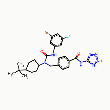 CC(C)(C)C1CCC(N(Cc2ccc(C(=O)Nc3nn[nH]n3)cc2)C(=O)Nc2cc(F)cc(Br)c2)CC1